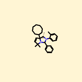 Cc1ccccc1N1C(c2ccccc2)N2C(C)(C)C=CC2(C2CCCCCCC2)[C@@H]1C